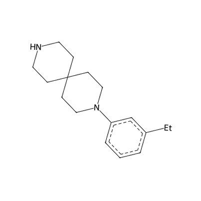 CCc1cccc(N2CCC3(CCNCC3)CC2)c1